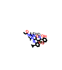 C=CC(=O)N1CC(C)N(/C(=N/c2c(SC)cccc2C2CC2)C2=C(NC=O)ON=C(c3c(O)cccc3O)C(F)=C2)C=C1C